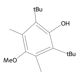 COc1c(C)c(C(C)(C)C)c(O)c(C(C)(C)C)c1C